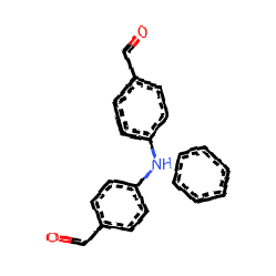 O=Cc1ccc(Nc2ccc(C=O)cc2)cc1.c1ccccc1